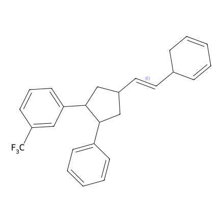 FC(F)(F)c1cccc(C2CC(/C=C/C3C=CC=CC3)CC2c2ccccc2)c1